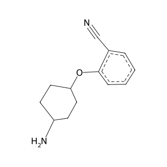 N#Cc1ccccc1OC1CCC(N)CC1